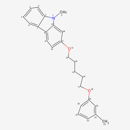 CC(=O)On1c2ccccc2c2ccc(OCCCCCOc3cccc(C)c3)cc21